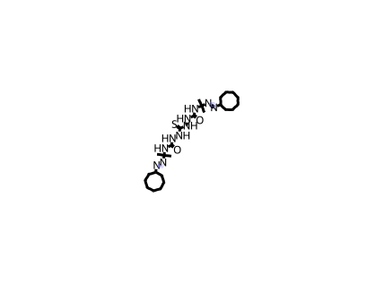 CC(C)(/N=N/C1CCCCCCC1)NC(=O)NNC(=S)NNC(=O)NC(C)(C)/N=N/C1CCCCCCC1